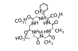 C[C@H](N)C(=O)N[C@@H](CC(=O)O)C(=O)N[C@@H](CC(=O)O)C(=O)N[C@@H](C)C(=O)N[C@@H](C)C(=O)N[C@@H](Cc1ccccc1)C(=O)O